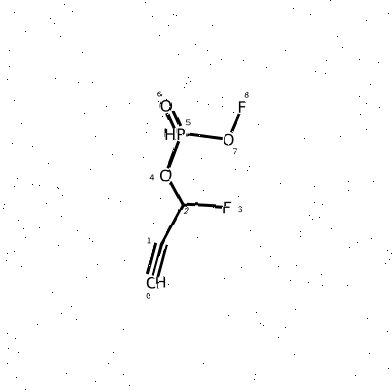 C#CC(F)O[PH](=O)OF